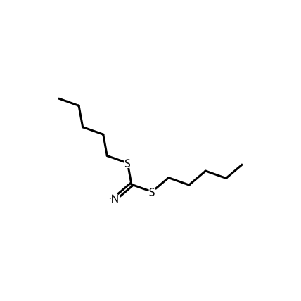 CCCCCSC(=[N])SCCCCC